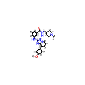 CCN1CCC(CNC(=O)c2cccc(Nc3nc4c(-c5ccc(OC)cc5)cccn4n3)c2)CC1